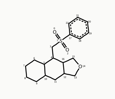 O=S(=O)(CC1C2CCCCC2CC2COCC21)c1ccccc1